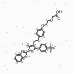 O=C(O)COCCOc1ccc(CCc2c(-c3ccc(C(F)(F)F)cc3)nn(-c3nc4ccccc4[nH]3)c2O)cc1